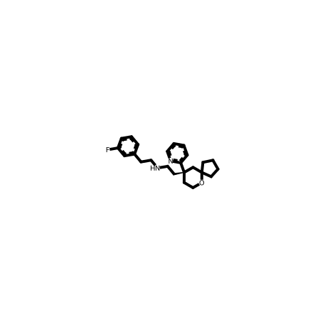 Fc1cccc(CCNCC[C@]2(c3ccccn3)CCOC3(CCCC3)C2)c1